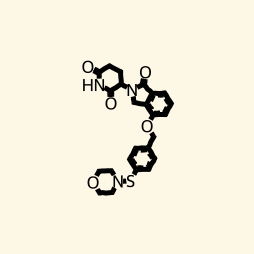 O=C1CCC(N2Cc3c(OCc4ccc(SN5CCOCC5)cc4)cccc3C2=O)C(=O)N1